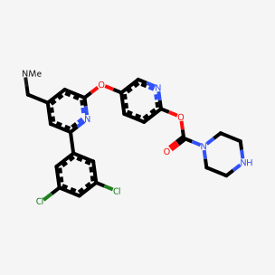 CNCc1cc(Oc2ccc(OC(=O)N3CCNCC3)nc2)nc(-c2cc(Cl)cc(Cl)c2)c1